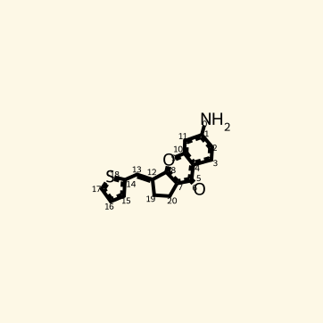 Nc1ccc2c(=O)c3c(oc2c1)C(=Cc1cccs1)CC3